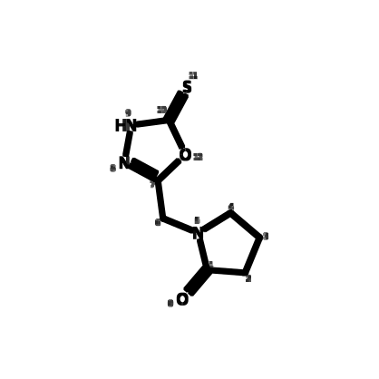 O=C1CCCN1Cc1n[nH]c(=S)o1